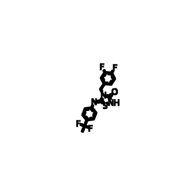 CC(F)(F)c1ccc(/N=c2\s[nH]c(=O)n2Cc2ccc(F)c(F)c2)cc1